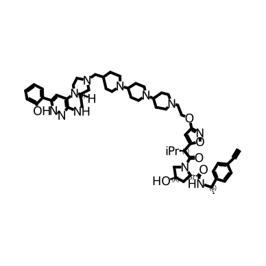 C#Cc1ccc([C@H](C)NC(=O)[C@@H]2C[C@@H](O)CN2C(=O)[C@H](c2cc(OCCN3CCC(N4CCC(N5CCC(CN6CCN7c8cc(-c9ccccc9O)nnc8NC[C@H]7C6)CC5)CC4)CC3)no2)C(C)C)cc1